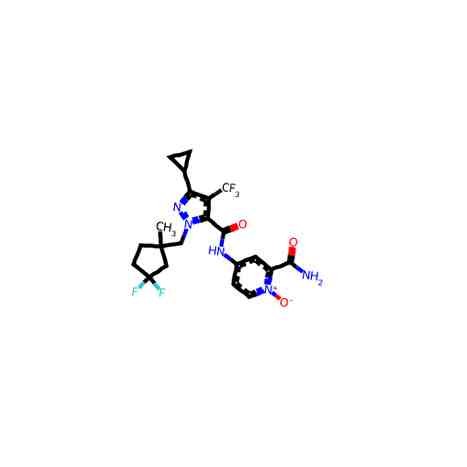 CC1(Cn2nc(C3CC3)c(C(F)(F)F)c2C(=O)Nc2cc[n+]([O-])c(C(N)=O)c2)CCC(F)(F)C1